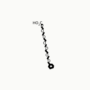 O=C(O)OCCOCCOCCOCCOCCOCCOCc1ccccc1